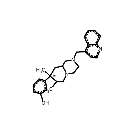 CC1CN2CCN(Cc3ccnc4ccccc34)CC2C[C@@]1(C)c1cccc(O)c1